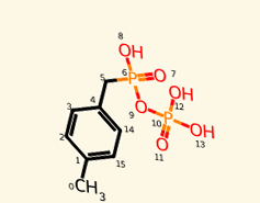 Cc1ccc(CP(=O)(O)OP(=O)(O)O)cc1